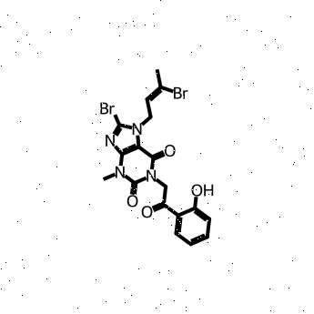 C/C(Br)=C/Cn1c(Br)nc2c1c(=O)n(CC(=O)c1ccccc1O)c(=O)n2C